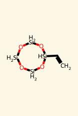 C=C[SiH]1O[SiH2]O[SiH2]O[SiH2]O1